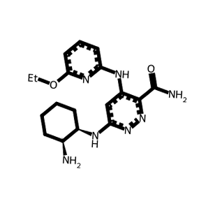 CCOc1cccc(Nc2cc(N[C@@H]3CCCC[C@@H]3N)nnc2C(N)=O)n1